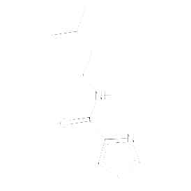 CC(C)CCNC(=O)c1cscn1